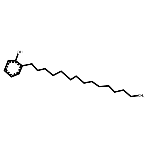 CCCCCCCCCCCCCCCc1ccccc1O